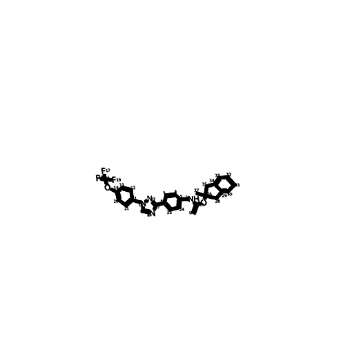 C=C(Nc1ccc(-c2ncn(-c3ccc(OC(F)(F)F)cc3)n2)cc1)OC1(C)Cc2ccccc2C1